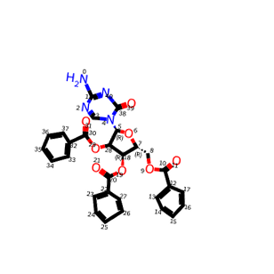 Nc1ncn([C@@H]2O[C@H](COC(=O)c3ccccc3)[C@@H](OC(=O)c3ccccc3)C2OC(=O)c2ccccc2)c(=O)n1